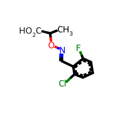 CC(ON=Cc1c(F)cccc1Cl)C(=O)O